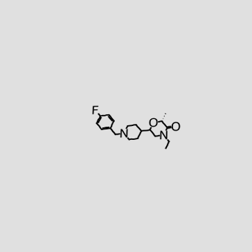 CCN1CC(C2CCN(Cc3ccc(F)cc3)CC2)O[C@H](C)C1=O